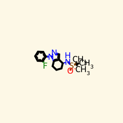 CC(C)(C)[S+]([O-])N[C@H]1CCCc2c1cnn2-c1ccccc1F